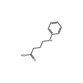 O=C(O)CCCPc1ccccc1